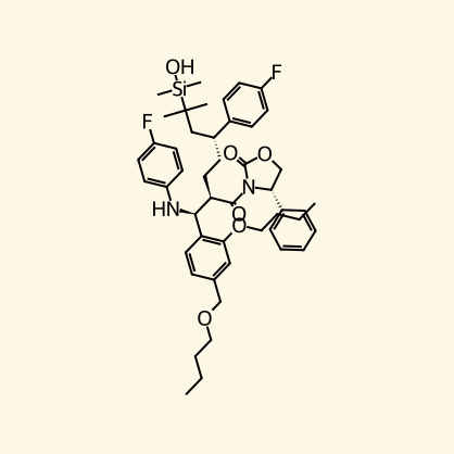 CCCCOCc1ccc([C@@H](Nc2ccc(F)cc2)[C@@H](CC[C@H](CC(C)(C)[Si](C)(C)O)c2ccc(F)cc2)C(=O)N2C(=O)OC[C@@H]2c2ccccc2)c(OCCCC)c1